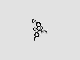 CCCc1oc2ccc(Br)cc2c(=O)c1-c1ccc(F)cc1